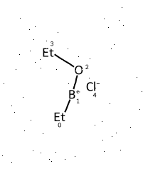 CC[B+]OCC.[Cl-]